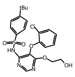 CC(C)(C)c1ccc(S(=O)(=O)Nc2ncnc(OCCO)c2Oc2ccccc2Cl)cc1